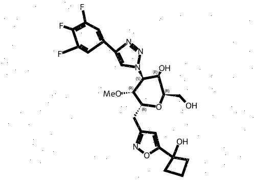 CO[C@@H]1[C@@H](n2cc(-c3cc(F)c(F)c(F)c3)nn2)[C@@H](O)[C@@H](CO)O[C@@H]1Cc1cc(C2(O)CCC2)on1